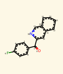 O=C(c1ccc(F)cc1)c1cc2ccccc2cn1